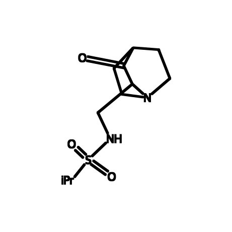 CC(C)S(=O)(=O)NCC1C(=O)C2CCN1CC2